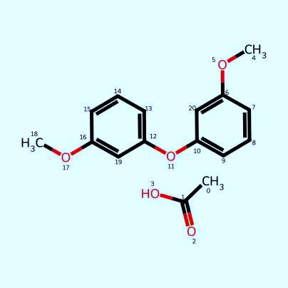 CC(=O)O.COc1cccc(Oc2cccc(OC)c2)c1